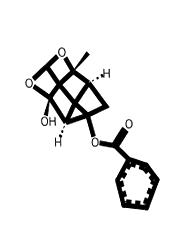 C[C@@]12OC3O[C@@]4(O)[C@@H]5C6(OC(=O)c7ccccc7)C[C@H]1C56C342